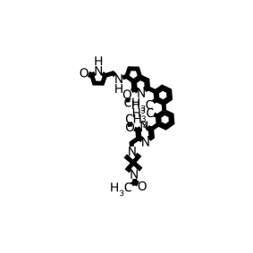 COc1nc(-c2cccc(-c3cccc(-c4cc5c(c(OC)n4)C(NCC4CCC(=O)N4)CC5)c3C)c2C)cnc1CN1CC2(C1)CN(C(C)=O)C2